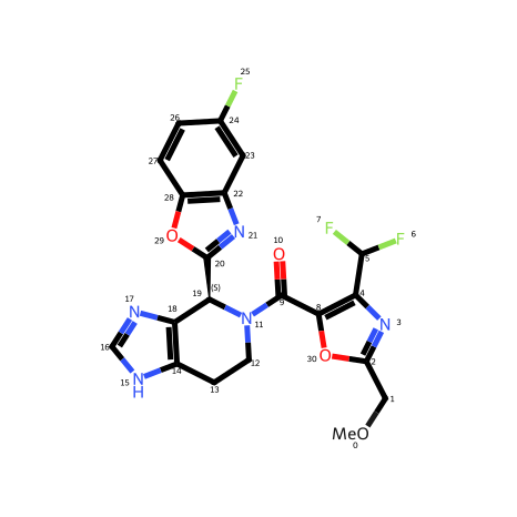 COCc1nc(C(F)F)c(C(=O)N2CCc3[nH]cnc3[C@H]2c2nc3cc(F)ccc3o2)o1